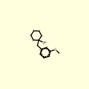 COc1cccc(CC2(O)CCCCC2)c1